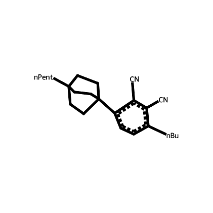 CCCCCC12CCC(c3ccc(CCCC)c(C#N)c3C#N)(CC1)CC2